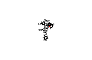 N#Cc1cccc([C@]23CC[C@@H](N(CCN4C[C@H](OCc5ccccc5)C[C@H]4CO)C(=O)Nc4cc(Cl)nc(Cl)c4)CC2C3)c1